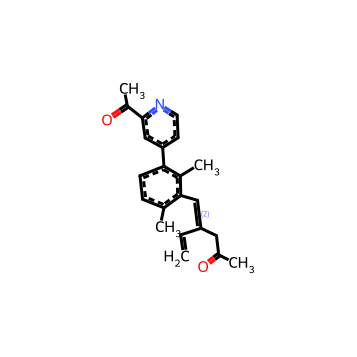 C=C/C(=C\c1c(C)ccc(-c2ccnc(C(C)=O)c2)c1C)CC(C)=O